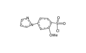 COc1cc(-n2cccn2)ccc1S(=O)(=O)Cl